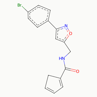 O=C(NCc1cc(-c2ccc(Br)cc2)no1)C1=CC=CC1